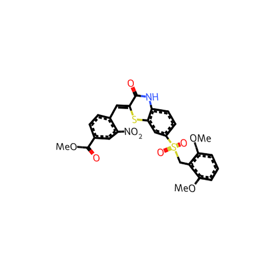 COC(=O)c1ccc(/C=C2\Sc3cc(S(=O)(=O)Cc4c(OC)cccc4OC)ccc3NC2=O)c([N+](=O)[O-])c1